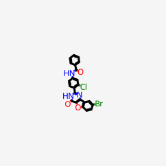 O=C(Nc1ccc(-c2nc3c(oc4ccc(Br)cc43)c(=O)[nH]2)c(Cl)c1)c1ccccc1